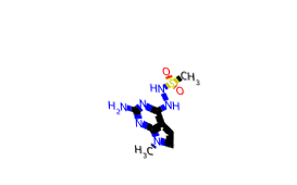 Cn1ccc2c(NNS(C)(=O)=O)nc(N)nc21